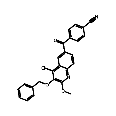 COc1nc2ccc(C(=O)c3ccc(C#N)cc3)cc2c(Cl)c1OCc1ccccc1